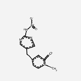 Cn1ccc(Cc2cnc(N[N+](=O)[O-])nc2)cc1=O